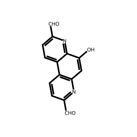 O=Cc1ccc2c(cc(O)c3nc(C=O)ccc32)n1